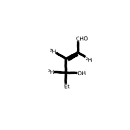 [2H]C(C=O)=C([2H])C([2H])(O)CC